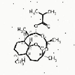 CC(C)C(=O)O[C@@H]1O[C@@H](C)O[C@@]2(C)CC[C@@H]3[C@@H](OO2)[C@@H](CC[C@H]3C)[C@H]1C